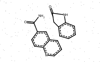 NC(=O)c1ccc2ncccc2c1.O=C1Cc2ccccc2N1